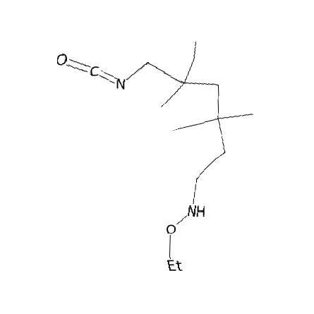 CCONCCC(C)(C)CC(C)(C)CN=C=O